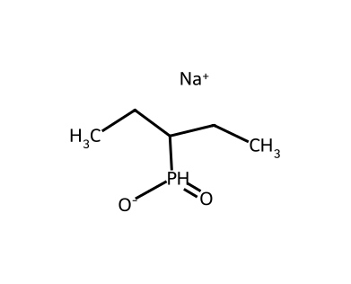 CCC(CC)[PH](=O)[O-].[Na+]